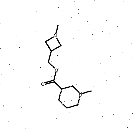 CN1CC(COC(=O)C2CCCN(C)C2)C1